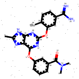 Cc1nc2c(Oc3cccc(C(=O)N(C)C)c3)nc(Oc3cc(C(=N)N)ccc3C(C)(C)C)nc2[nH]1